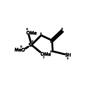 C=C(CS)C[Si](OC)(OC)OC